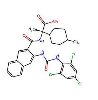 CC1CCC([C@](C)(NC(=O)c2cc3ccccc3cc2NC(=O)Nc2c(Cl)cc(Cl)cc2Cl)C(=O)O)CC1